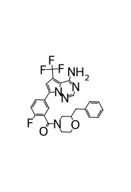 Nc1ncnn2c(-c3ccc(F)c(C(=O)N4CCOC(Cc5ccccc5)C4)c3)cc(C(F)(F)F)c12